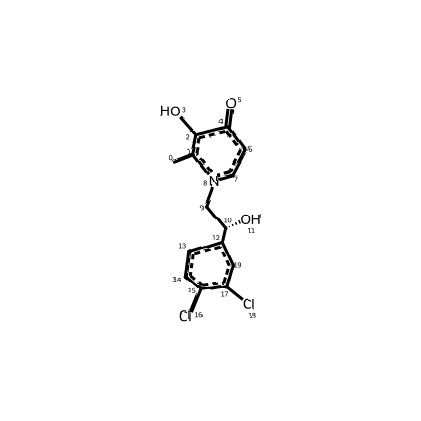 Cc1c(O)c(=O)ccn1C[C@H](O)c1ccc(Cl)c(Cl)c1